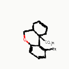 CCc1cccc2c1C1(C(=O)O)CC=CCC1CO2